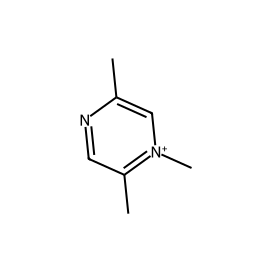 Cc1c[n+](C)c(C)cn1